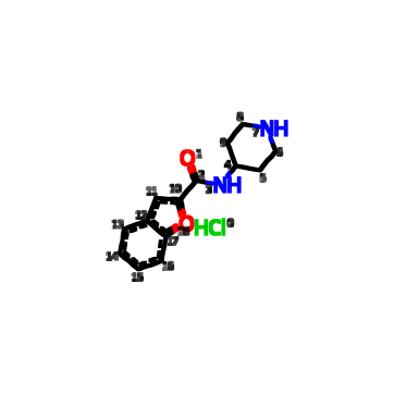 Cl.O=C(NC1CCNCC1)c1cc2ccccc2o1